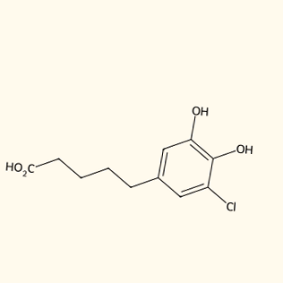 O=C(O)CCCCc1cc(O)c(O)c(Cl)c1